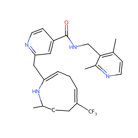 Cc1ccnc(C)c1CNC(=O)c1ccnc(C/C2=C/C/C=C(/C(F)(F)F)CCC(C)N2)c1